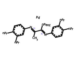 CCCCCC(=N\c1ccc(CCC)c(CCC)c1)/C(C)=N/c1ccc(CCC)c(CCC)c1.[Pd]